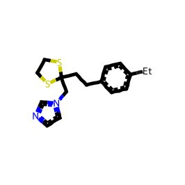 CCc1ccc(CCC2(Cn3ccnc3)SCCS2)cc1